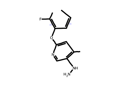 C/C=C\C(Oc1cc(C)c(NN)cn1)=C(/C)F